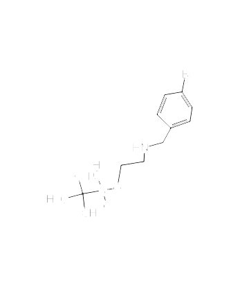 CC(C)(C)[Si](C)(C)OCCNCc1ccc(Br)cc1